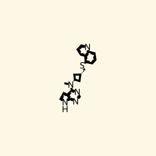 CN(c1ncnc2[nH]ccc12)[C@H]1C[C@@H](CSc2cccc3ncccc23)C1